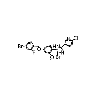 COc1cc(OCc2ncc(Br)cc2F)ccc1-c1[nH]c(-c2ccc(Cl)nc2)nc1Br